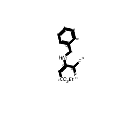 CCOC(=O)C=C(NCc1ccccc1)C(F)F